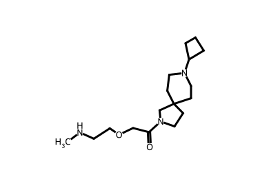 CNCCOCC(=O)N1CCC2(CCN(C3CCC3)CC2)C1